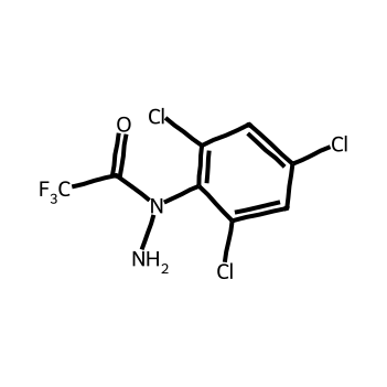 NN(C(=O)C(F)(F)F)c1c(Cl)cc(Cl)cc1Cl